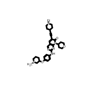 CCN1CCC(C#Cc2cc3cnc(Nc4ccc(OC5CCCN(C)C5)cc4)nc3n(C3CCOCC3)c2=O)CC1